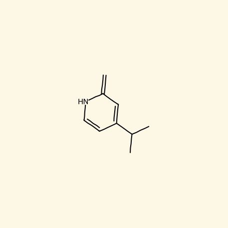 C=C1C=C(C(C)C)C=CN1